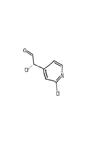 O=C[C@@H](Cl)c1ccnc(Cl)c1